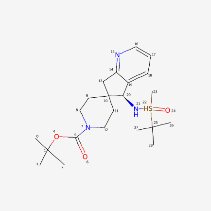 CC(C)(C)OC(=O)N1CCC2(CC1)Cc1ncccc1[C@H]2N[SH](C)(=O)C(C)(C)C